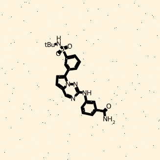 CC(C)(C)NS(=O)(=O)c1cccc(-c2ccc3cnc(Nc4cccc(C(N)=O)c4)nn23)c1